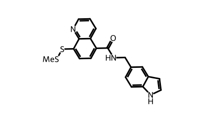 CSSc1ccc(C(=O)NCc2ccc3[nH]ccc3c2)c2cccnc12